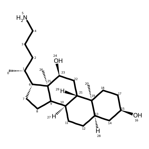 C[C@H](CCCN)[C@H]1CCC2[C@@H]3CC[C@@H]4C[C@H](O)CC[C@]4(C)[C@H]3C[C@H](O)[C@@]21C